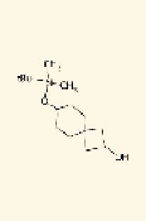 CC(C)(C)[Si](C)(C)OC1CCC2(CC1)CC(O)C2